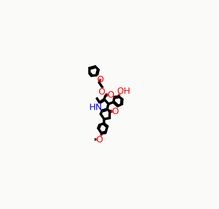 COc1ccc(C2CC(=O)C3=C(C2)NC(C)=C(C(=O)OCCOc2ccccc2)C3c2cccc(O)c2)cc1